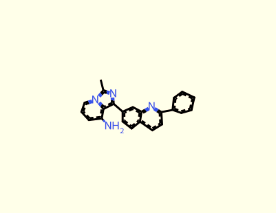 Cc1nc(-c2ccc3ccc(-c4ccccc4)nc3c2)c2c(N)cccn12